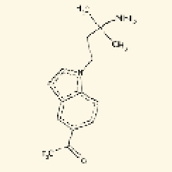 CC(C)(N)CCn1ccc2cc(C(=O)C(F)(F)F)ccc21